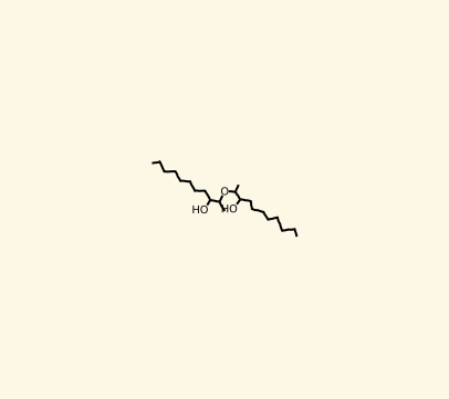 CCCCCCCCC(O)C(C)OC(C)C(O)CCCCCCCC